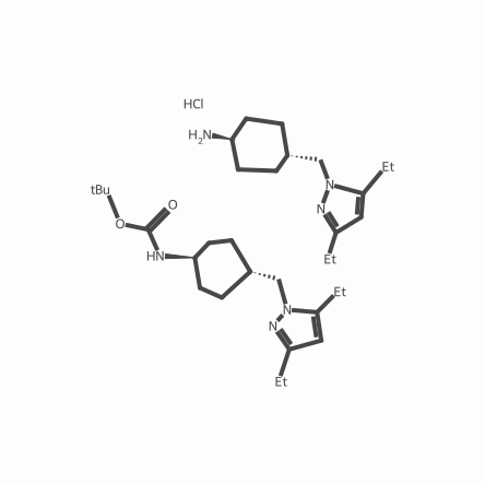 CCc1cc(CC)n(C[C@H]2CC[C@H](N)CC2)n1.CCc1cc(CC)n(C[C@H]2CC[C@H](NC(=O)OC(C)(C)C)CC2)n1.Cl